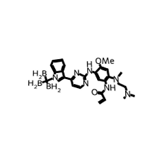 BC(B)(B)n1cc(-c2ccnc(Nc3cc(NC(=O)C=C)c(N(C)CCN(C)C)cc3OC)n2)c2ccccc21